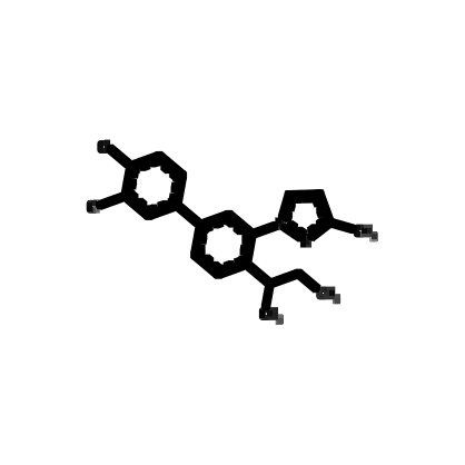 CCC(C)c1ccc(-c2ccc(Cl)c(Cl)c2)cc1-n1ccc(C)n1